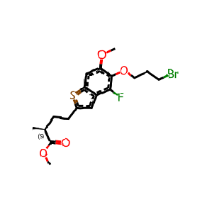 COC(=O)[C@@H](C)CCc1cc2c(F)c(OCCCBr)c(OC)cc2s1